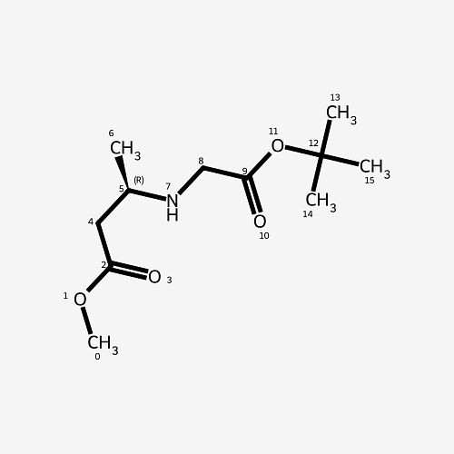 COC(=O)C[C@@H](C)NCC(=O)OC(C)(C)C